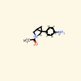 CC(=O)N1CC2CC2(c2ccc(N)cc2)C1